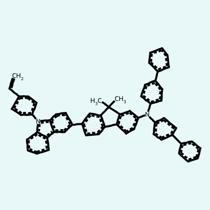 C=Cc1ccc(-n2c3ccccc3c3cc(-c4ccc5c(c4)C(C)(C)c4cc(N(c6ccc(-c7ccccc7)cc6)c6ccc(-c7ccccc7)cc6)ccc4-5)ccc32)cc1